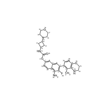 Cc1c(-c2cc3cc(OC(=O)NC4CC(N5CCOCC5)C4)ncc3c(N)c2F)cnc2c1NCCO2